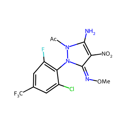 CON=c1c([N+](=O)[O-])c(N)n(C(C)=O)n1-c1c(F)cc(C(F)(F)F)cc1Cl